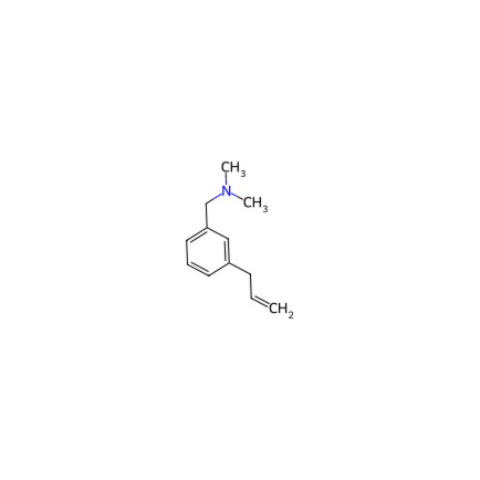 C=CCc1cccc(CN(C)C)c1